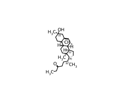 CCC(=O)CC[C@@H](C)[C@H]1CC[C@H]2[C@@H]3CC=C4C[C@@](C)(O)CC[C@]4(C)[C@H]3CC[C@]12C